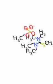 CCN(CC)/C(=[S+]/C)N(C)C.CCOS(=O)(=O)[O-]